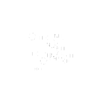 Cc1cc(O)cc(C)c1C[C@H](NC(=O)OC(C)(C)C)C(=O)N(CCCc1ccccc1)[C@H](C)C(N)=O